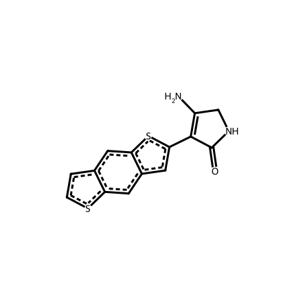 NC1=C(c2cc3cc4sccc4cc3s2)C(=O)NC1